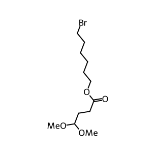 COC(CCC(=O)OCCCCCCBr)OC